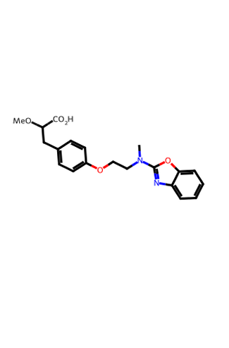 COC(Cc1ccc(OCCN(C)c2nc3ccccc3o2)cc1)C(=O)O